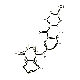 CN1CCN(C(=O)c2cc(Oc3n[nH]c(=O)c4ccccc34)ccc2F)CC1